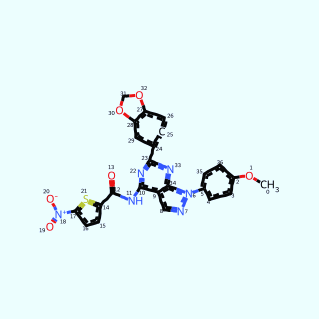 COc1ccc(-n2ncc3c(NC(=O)c4ccc([N+](=O)[O-])s4)nc(-c4ccc5c(c4)OCO5)nc32)cc1